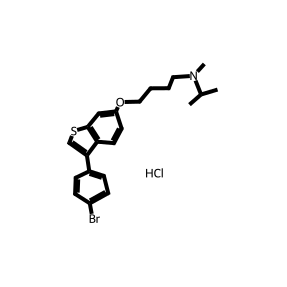 CC(C)N(C)CCCCOc1ccc2c(-c3ccc(Br)cc3)csc2c1.Cl